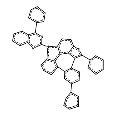 c1ccc(-c2ccc3c(c2)-c2cccc4c2c2c5c-3c(-c3ccccc3)sc5ccc2n4-c2nc(-c3ccccc3)c3ccccc3n2)cc1